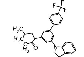 CC(=O)C(CC(C)C)c1cc(-c2ccc(C(F)(F)F)cc2)cc(N2CCc3ccccc32)c1